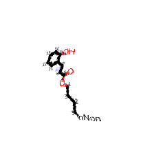 CCCCCCCCCCCCCOC(=O)/C=C/c1ccccc1O